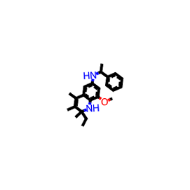 CCC1(C)Nc2c(OC)cc(NC(C)c3ccccc3)cc2C(C)=C1C